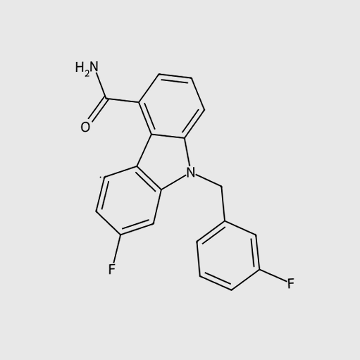 NC(=O)c1cccc2c1c1[c]cc(F)cc1n2Cc1cccc(F)c1